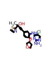 CC(O)(C#Cc1ccc(OC2CCOC2)c(Nc2nc(N)ncc2Cl)c1)c1nccs1